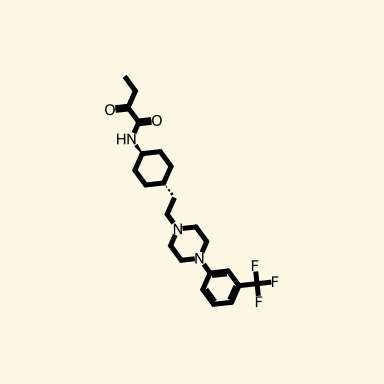 CCC(=O)C(=O)N[C@H]1CC[C@H](CCN2CCN(c3cccc(C(F)(F)F)c3)CC2)CC1